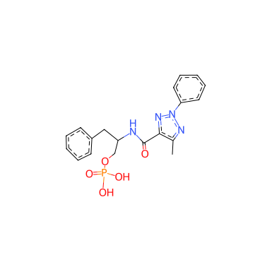 Cc1nn(-c2ccccc2)nc1C(=O)NC(COP(=O)(O)O)Cc1ccccc1